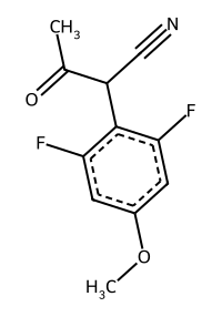 COc1cc(F)c(C(C#N)C(C)=O)c(F)c1